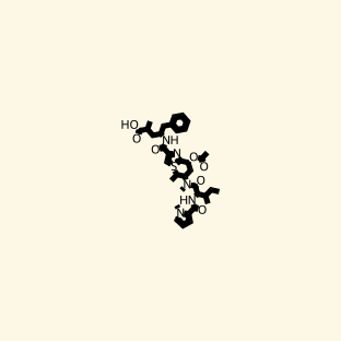 CCC(C)C(NC(=O)c1cccn1C)C(=O)N(C)C(CC(OC(C)=O)c1nc(C(=O)NC(Cc2ccccc2)CC(C)C(=O)O)cs1)C(C)C